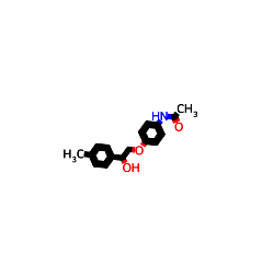 CC(=O)Nc1ccc(OCC(O)c2ccc(C)cc2)cc1